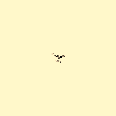 O=[SH]O.[CaH2]